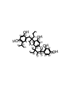 CCCC(CC)(Cc1cc(C(C)C)c(O)cc1O)c1cc2c(cc1O)OC(C)(c1ccc(O)cc1O)C(C)C2(C)CC